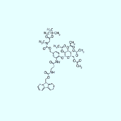 CC(=O)OC[C@H]1O[C@H](Oc2ccc(COC(=O)N(C)CC(=O)OC(C)(C)C)cc2NC(=O)CCNC(=O)OCC2c3ccccc3-c3ccccc32)[C@@H](OC(C)=O)[C@@H](OC(C)=O)[C@@H]1OC(C)=O